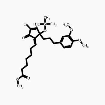 COC(=O)CCCCC/C=C1\C(=O)C(Cl)=CC1(CCCc1ccc(OC)c(OC)c1)O[Si](C)(C)C